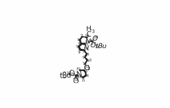 C[C@@H]1CCc2ccc(CCCCO[C@@H]3CCN(C(=O)OC(C)(C)C)C3)nc2N1C(=O)OC(C)(C)C